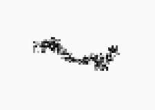 Cc1ncsc1-c1ccc(CNC(=O)[C@@H]2CCCN2C(=O)C(NC(=O)c2ccc(OCCCOc3ccc(-c4ccc(N5C(=S)N(c6ccc(C#N)c(C(F)(F)F)c6)C(=O)C5(C)C)cc4)cc3)cc2)C(C)(C)C)cc1